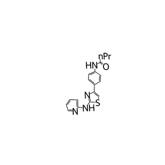 CCCC(=O)Nc1ccc(-c2csc(Nc3ccccn3)n2)cc1